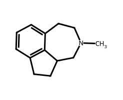 CN1CCc2cccc3c2C(CC3)C1